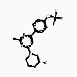 Cc1nc(-c2ccc(OC(F)(F)F)cc2)cc(N2CCC[C@@H](F)C2)n1